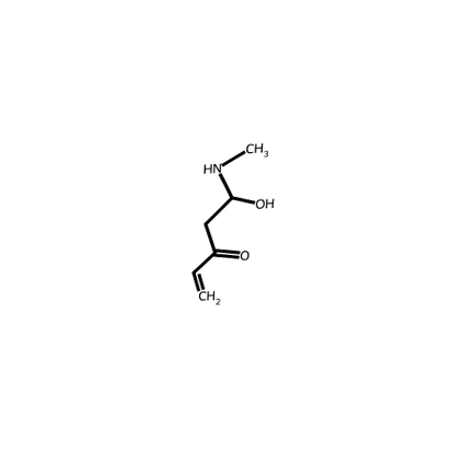 C=CC(=O)CC(O)NC